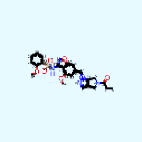 CCC(=O)N1Cc2cnn(Cc3cc(OC)c4c(NS(=O)(=O)c5ccccc5OC)noc4c3)c2C1